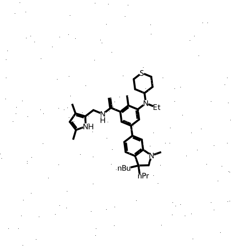 C=C(NCc1[nH]c(C)cc1C)c1cc(-c2ccc3c(c2)N(C)CC3(CCC)CCCC)cc(N(CC)C2CCSCC2)c1C